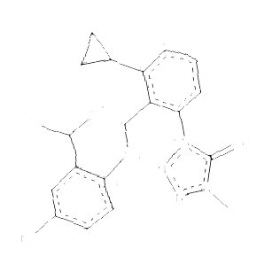 Cn1nnn(-c2cccc(C3CC3)c2COc2ccc(O)cc2C(F)F)c1=O